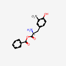 N[C@@H](Cc1ccc(O)c([N+](=O)[O-])c1)C(=O)OC(=O)c1ccccc1